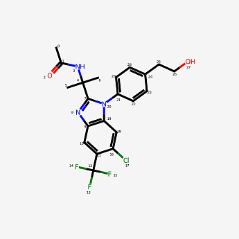 CC(=O)NC(C)(C)c1nc2cc(C(F)(F)F)c(Cl)cc2n1-c1ccc(CCO)cc1